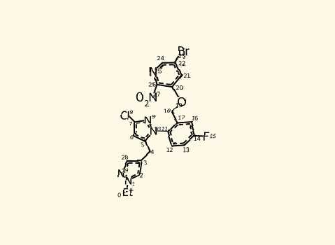 CCn1cc(Cc2cc(Cl)nn2-c2ccc(F)cc2COc2cc(Br)cnc2[N+](=O)[O-])cn1